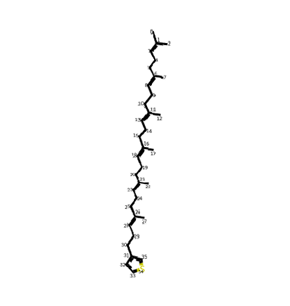 CC(C)=CCC/C(C)=C/CC/C(C)=C/CC/C(C)=C/CC/C(C)=C/CC/C(C)=C/CCc1ccsc1